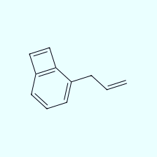 C=CCc1cccc2c1C=C2